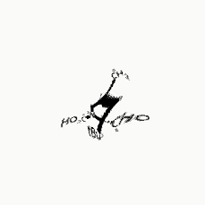 C[C@@H]1CN(C(=O)O)[C@](C=O)(C(C)(C)C)C1